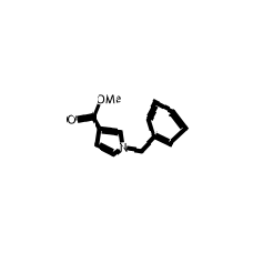 COC(=O)c1ccn(Cc2ccccc2)c1